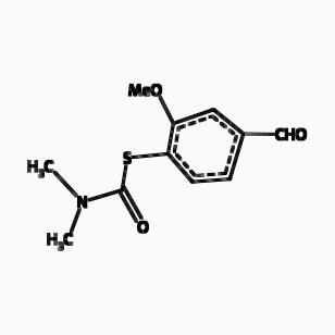 COc1cc(C=O)ccc1SC(=O)N(C)C